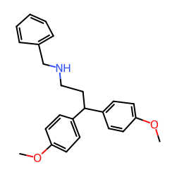 COc1ccc(C(CCNCc2ccccc2)c2ccc(OC)cc2)cc1